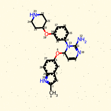 Cc1cc2cc(OC3C=CN=C(N)N3c3cccc(OC4CCNCC4)c3)ccc2[nH]1